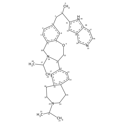 CC(Cc1ccc2c(c1)OCC(c1ccc3c(c1)CCN(C(C)C)CC3)N(C(C)C)C2)c1cc2cnccc2[nH]1